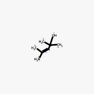 C/C(N)=C\C(C)(C)O